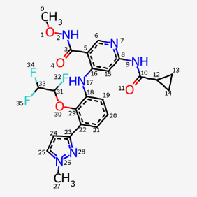 CONC(=O)c1cnc(NC(=O)C2CC2)cc1Nc1cccc(-c2ccn(C)n2)c1OC(F)C(F)F